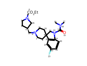 CCOC(=O)N1CC[C@H](CN2CCC3(CC2)CN(C(=O)N(C)C)c2ccc(F)cc23)C1